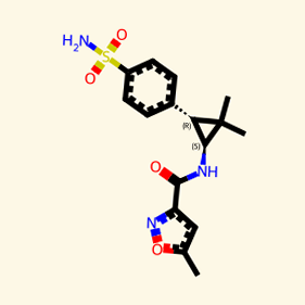 Cc1cc(C(=O)N[C@H]2[C@H](c3ccc(S(N)(=O)=O)cc3)C2(C)C)no1